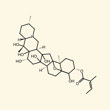 C/C=C(/C)C(=O)O[C@H]1CC[C@@]2(C)C3CC[C@H]4C5(O)C[C@H](O)C6(O)[C@@H](CN7C[C@@H](C)CC[C@H]7[C@@]6(C)O)C5(O)CC42OC31O